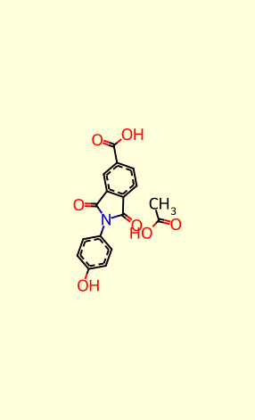 CC(=O)O.O=C(O)c1ccc2c(c1)C(=O)N(c1ccc(O)cc1)C2=O